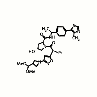 COC(OC)C1CN(c2cc([C@@H](C(=O)N3C[C@H](O)C[C@H]3C(=O)N[C@@H](C)c3ccc(-c4scnc4C)cc3)C(C)C)on2)C1